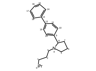 CC(C)CCCN1CCCC1c1ccc(-c2ccccc2)cc1